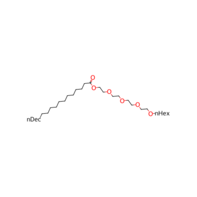 CCCCCCCCCCCCCCCCCCCCCC(=O)OCCOCCOCCOCCOCCCCCC